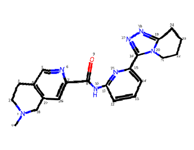 CN1CCc2cnc(C(=O)Nc3cccc(-c4nnc5n4CCCC5)n3)cc2C1